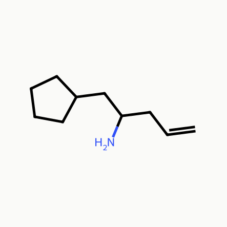 C=CCC(N)CC1CCCC1